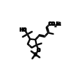 CCOC(=O)C=C(C)C=CC1C(C(C)(C)O)CCC1(C)O[Si](C)(C)C